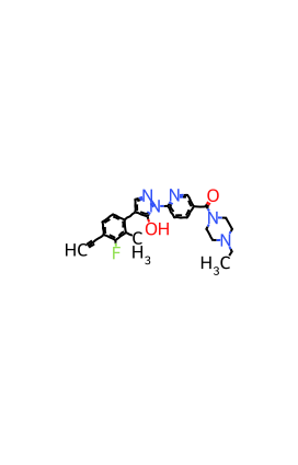 C#Cc1ccc(-c2cnn(-c3ccc(C(=O)N4CCN(CC)CC4)cn3)c2O)c(C)c1F